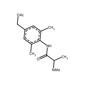 CNC(C)C(=O)Nc1c(C)cc(COC(C)=O)cc1C